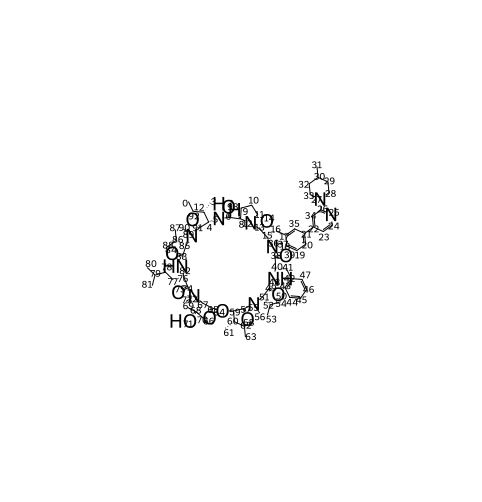 CC[C@H](C)[C@@H]1NC(=O)[C@@H]2CCCN2C(=O)[C@H](Cc2cccc(-c3ccnc(N4CCC(C)CC4)c3)c2)N(C)C(=O)[C@H](Cc2ccccc2)NC(=O)[C@H](C(C)C)N(C)C(=O)[C@@H]([C@@H](C)CC)OC(=O)[C@H](C(C)(C)O)N(C)C(=O)[C@H](CCC(C)C)NC(=O)[C@H](C(C)C)N(C)C1=O